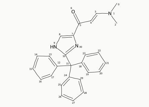 CN(C)C=CC(=O)c1c[nH]c(C(c2ccccc2)(c2ccccc2)c2ccccc2)n1